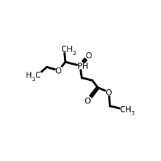 CCOC(=O)CC[PH](=O)C(C)OCC